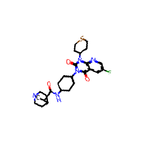 O=C(NC1CCC(n2c(=O)c3cc(F)cnc3n(C3CCSCC3)c2=O)CC1)C1CN2CCC1CC2